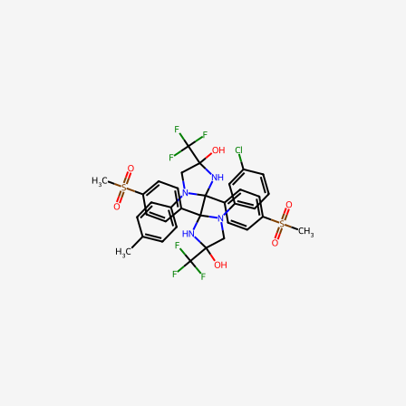 Cc1ccc(N2CC(O)(C(F)(F)F)NC2(c2ccc(S(C)(=O)=O)cc2)C2(c3ccc(S(C)(=O)=O)cc3)NC(O)(C(F)(F)F)CN2c2cccc(Cl)c2)cc1